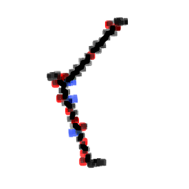 COC(=O)COCCOCCNC(=O)COCCOCCNC(=O)CC[C@H](NC(=O)CCCCCCCCOCCCCCCCCC(=O)OC(C)(C)C)C(=O)OC(C)(C)C